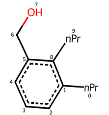 CCCc1cccc(CO)c1CCC